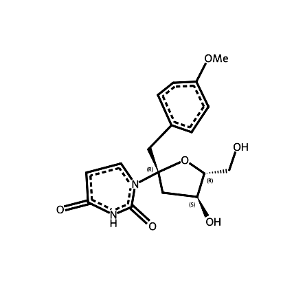 COc1ccc(C[C@]2(n3ccc(=O)[nH]c3=O)C[C@H](O)[C@@H](CO)O2)cc1